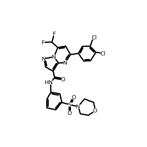 O=C(Nc1cccc(S(=O)(=O)N2CCOCC2)c1)c1cnn2c(C(F)F)cc(-c3ccc(Cl)c(Cl)c3)nc12